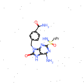 CCCS(=N)(=O)c1nc(N)c2[nH]c(=O)n(Cc3ccc(C(N)=O)cc3)c2n1